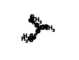 COc1ccc(N(c2ccc(/C=C/c3ccc(C=O)n3C)cc2)c2ccc(/C=C/c3ccc(OC)n3C)cc2)cc1